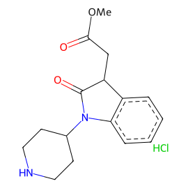 COC(=O)CC1C(=O)N(C2CCNCC2)c2ccccc21.Cl